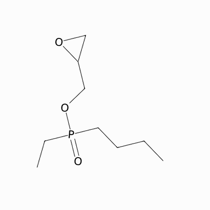 CCCCP(=O)(CC)OCC1CO1